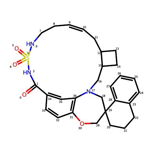 O=C1NS(=O)(=O)NCCC=CCC2CCC2CN2CC3(CCCc4ccccc43)COc3ccc1cc32